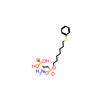 NOP(=O)(CCP(=O)(O)O)OCCCCCCCSc1ccccc1